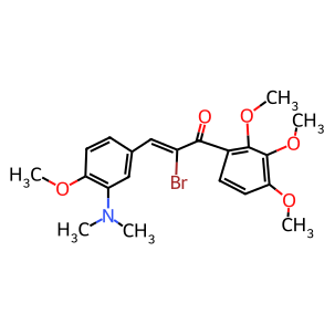 COc1ccc(C=C(Br)C(=O)c2ccc(OC)c(OC)c2OC)cc1N(C)C